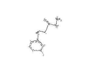 Cc1cccc(NCC(=O)NN)c1